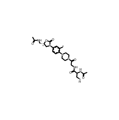 CC(=O)NC[C@H]1CN(c2ccc(N3CCN(C(=O)CNC(=O)C(CS)NC(C)=O)CC3)c(F)c2)C(=O)O1